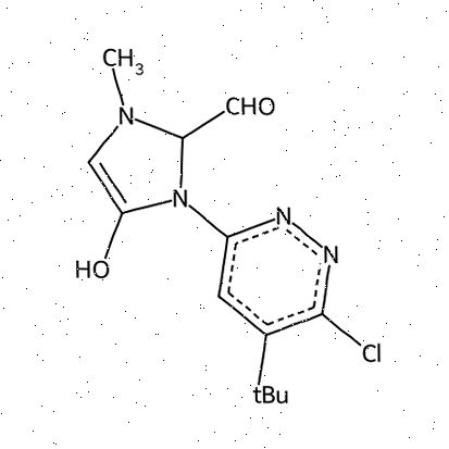 CN1C=C(O)N(c2cc(C(C)(C)C)c(Cl)nn2)C1C=O